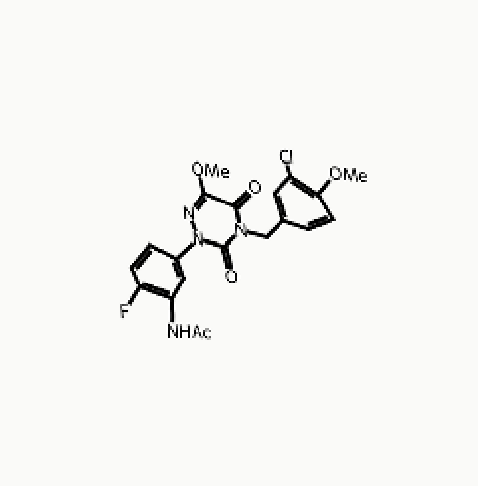 COc1ccc(Cn2c(=O)c(OC)nn(-c3ccc(F)c(NC(C)=O)c3)c2=O)cc1Cl